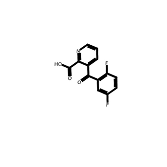 O=C(c1cc(F)ccc1F)c1cccnc1C(=O)O